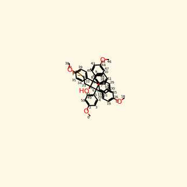 COc1ccc(C(c2ccccc2)(c2ccc(OC)cc2)C(O)(CCS)C(c2ccccc2)(c2ccc(OC)cc2)c2ccc(OC)cc2)cc1